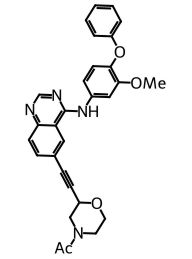 COc1cc(Nc2ncnc3ccc(C#CC4CN(C(C)=O)CCO4)cc23)ccc1Oc1ccccc1